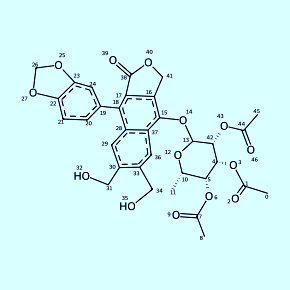 CC(=O)O[C@@H]1[C@H](OC(C)=O)[C@H](C)OC(Oc2c3c(c(-c4ccc5c(c4)OCO5)c4cc(CO)c(CO)cc24)C(=O)OC3)[C@@H]1OC(C)=O